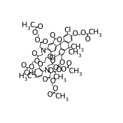 CC(=O)OCOC(=O)CN(CC(=O)OCOC(C)=O)c1ccc(C)cc1OCCOc1cc2c(cc1N(CC(=O)OCOC(C)=O)CC(=O)OCOC(C)=O)C(=O)OC21c2cc(Cl)c(OCOC(C)=O)cc2C(C)(C)c2cc(OCOC(C)=O)c(Cl)cc21